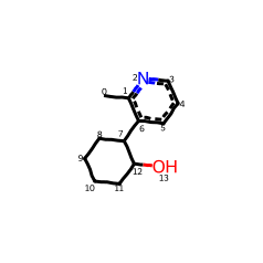 Cc1ncccc1C1CCCCC1O